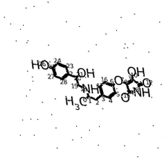 CC(Cc1ccc(OC2=C(O)C(=O)NC2=O)cc1)NCC(O)c1ccc(O)cc1